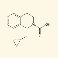 O=C(O)N1CCc2ccccc2C1CC1CC1